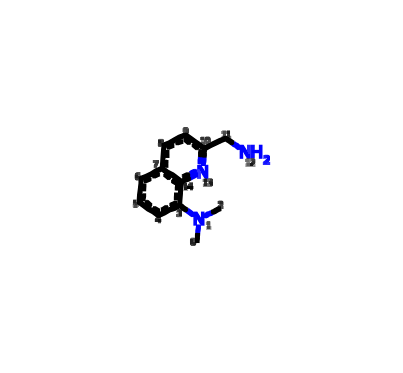 CN(C)c1cccc2ccc(CN)nc12